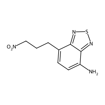 Nc1ccc(CCC[N+](=O)[O-])c2nsnc12